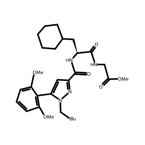 CCC(C)Cn1nc(C(=O)N[C@@H](CC2CCCCC2)C(=O)NCC(=O)OC)cc1-c1c(OC)cccc1OC